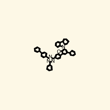 c1ccc(-c2ccc(-c3nc(-c4ccccc4)nc(-c4ccc5c(c4)oc4c(-n6c7ccccc7c7ccccc76)cc(-c6ccccc6)cc45)n3)cc2)cc1